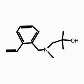 C=Cc1ccccc1CN(C)CC(C)(C)O